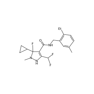 CCc1ccc(C)cc1CNC(=O)C1=C(C(F)F)NN(C)C1(F)C1CC1